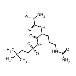 CC(C)[C@H](N)C(=O)N[C@@H](CCCNC(N)=O)C(=O)NS(=O)(=O)CC[Si](C)(C)C